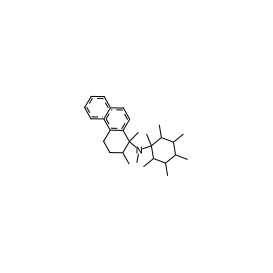 CC1C(C)C(C)C(C)(N(C)C2(C)c3ccc4ccccc4c3CCC2C)C(C)C1C